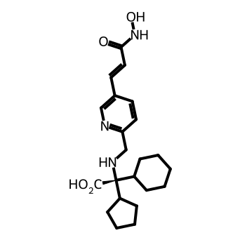 O=C(C=Cc1ccc(CN[C@](C(=O)O)(C2CCCCC2)C2CCCC2)nc1)NO